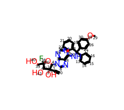 C#C[C@]1(O)[C@H](n2cnc3c(NC(c4ccccc4)(c4ccccc4)c4ccc(OC)cc4)ncnc32)O[C@](F)(CO)[C@H]1O